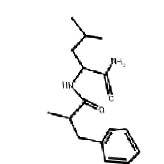 CC(C)CC(NC(=O)C(C)Cc1ccccc1)C(N)=O